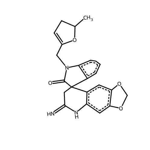 CC1CC=C(CN2C(=O)C3(CC(=N)Nc4cc5c(cc43)OCO5)c3ccccc32)O1